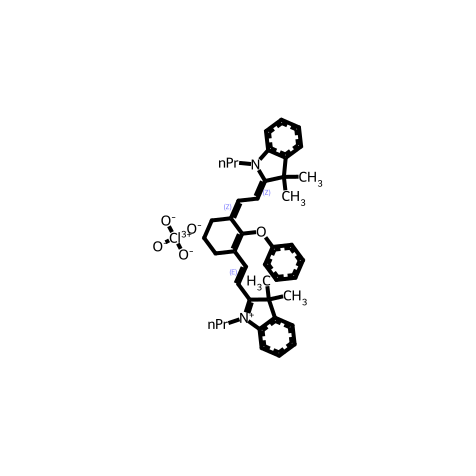 CCCN1/C(=C\C=C2\CCCC(/C=C/C3=[N+](CCC)c4ccccc4C3(C)C)=C2Oc2ccccc2)C(C)(C)c2ccccc21.[O-][Cl+3]([O-])([O-])[O-]